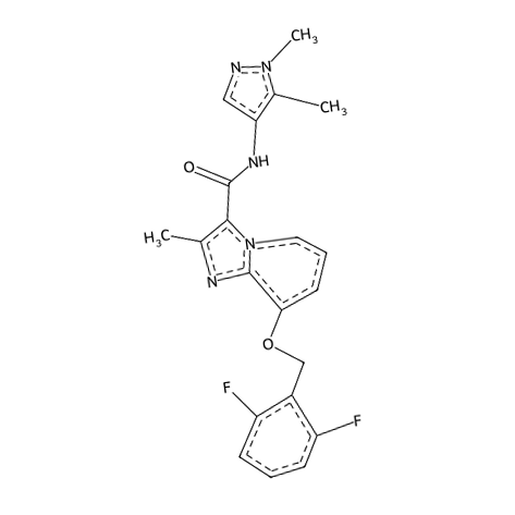 Cc1nc2c(OCc3c(F)cccc3F)cccn2c1C(=O)Nc1cnn(C)c1C